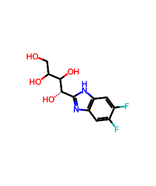 OCC(O)C(O)[C@@H](O)c1nc2cc(F)c(F)cc2[nH]1